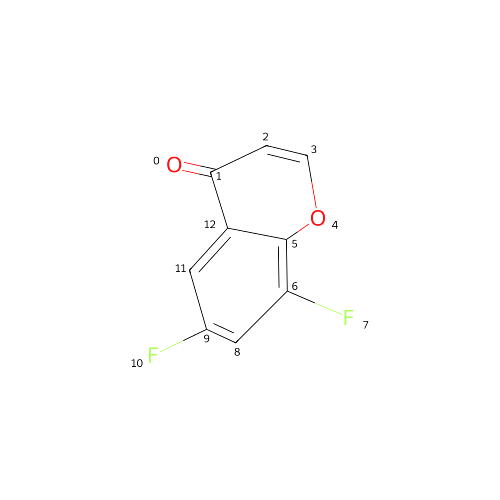 O=c1ccoc2c(F)cc(F)cc12